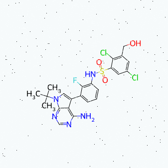 CC(C)(C)n1cc(-c2cccc(NS(=O)(=O)c3cc(Cl)cc(CO)c3Cl)c2F)c2c(N)ncnc21